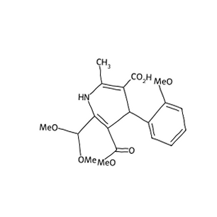 COC(=O)C1=C(C(OC)OC)NC(C)=C(C(=O)O)C1c1ccccc1OC